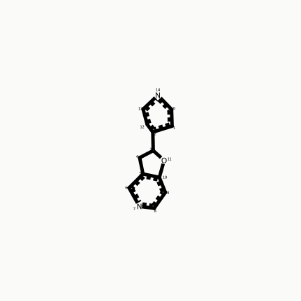 c1cc(C2Cc3cnccc3O2)ccn1